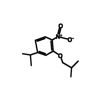 CC(C)COc1cc(C(C)C)ccc1[N+](=O)[O-]